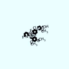 COc1ccc(CN(c2cccc(F)n2)S(=O)(=O)c2c(F)cc(N3CC[C@](CO)(OC)C3)c(Cl)c2F)c(OC)c1